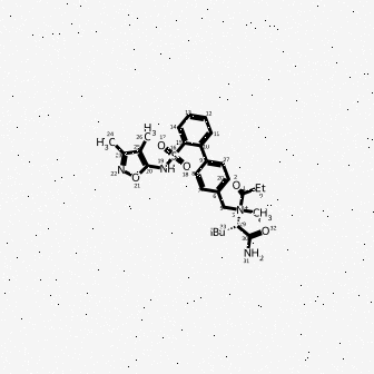 CCC(=O)[N+](C)(Cc1ccc(-c2ccccc2S(=O)(=O)Nc2onc(C)c2C)cc1)[C@H](C(N)=O)[C@@H](C)CC